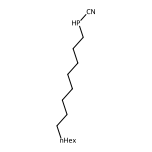 CCCCCCCCCCCCCCPC#N